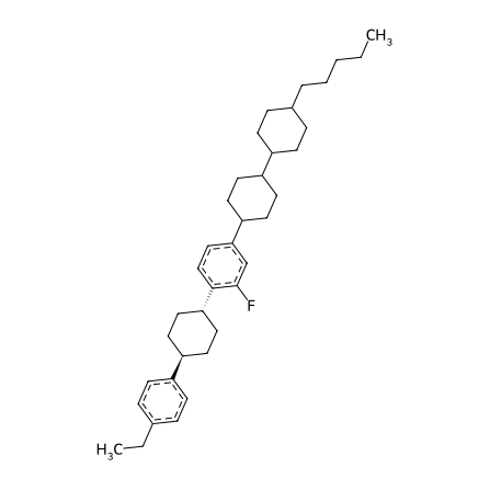 CCCCCC1CCC(C2CCC(c3ccc([C@H]4CC[C@H](c5ccc(CC)cc5)CC4)c(F)c3)CC2)CC1